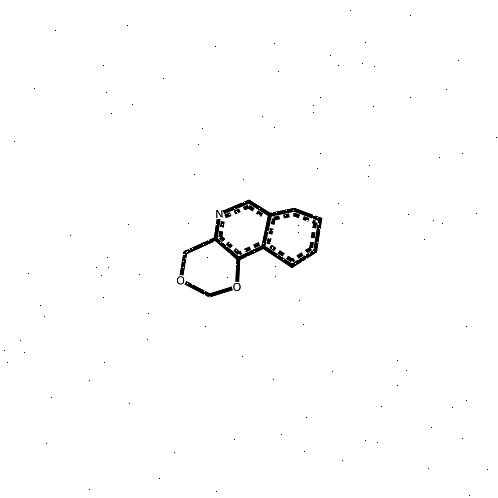 c1ccc2c3c(ncc2c1)COCO3